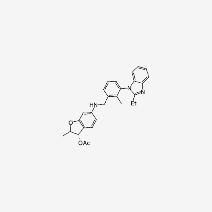 CCc1nc2ccccc2n1-c1cccc(CNc2ccc3c(c2)OC(C)[C@H]3OC(C)=O)c1C